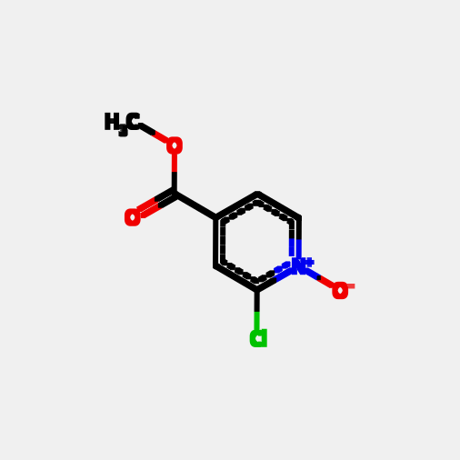 COC(=O)c1cc[n+]([O-])c(Cl)c1